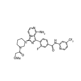 COCC(=O)N1CCC[C@@H](c2nc(-c3ccc(C(=O)Nc4cc(C(F)(F)F)ccn4)cc3F)c3c(N)nccn23)C1